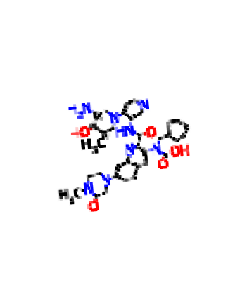 C[C@H]1CN(c2ccncc2NC(=O)c2nc3cc(N4CCN(C)C(=O)C4)ccc3cc2N(Cc2ccccc2)C(=O)O)C[C@@H](N)[C@@H]1O